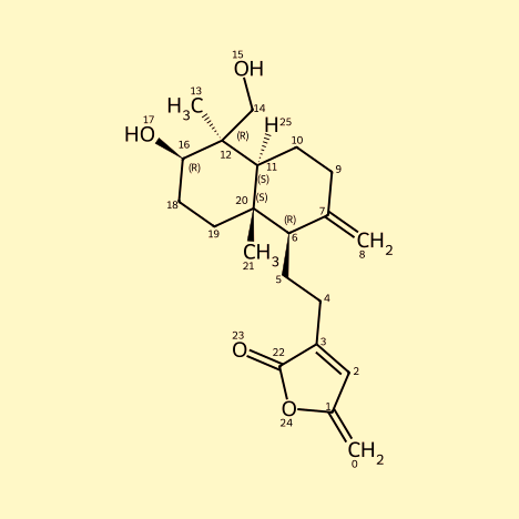 C=C1C=C(CC[C@@H]2C(=C)CC[C@@H]3[C@](C)(CO)[C@H](O)CC[C@]32C)C(=O)O1